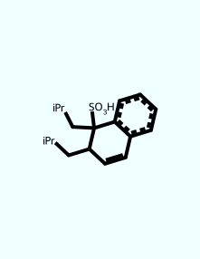 CC(C)CC1C=Cc2ccccc2C1(CC(C)C)S(=O)(=O)O